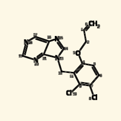 C=CCOc1ccc(Cl)c(Cl)c1Cn1cnc2cncnc21